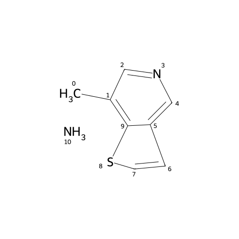 Cc1cncc2ccsc12.N